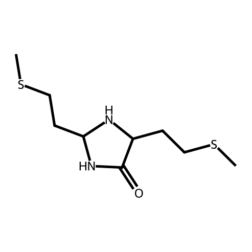 CSCCC1NC(=O)C(CCSC)N1